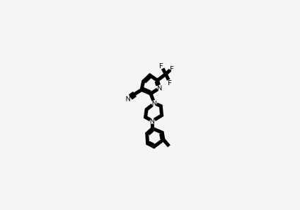 Cc1cccc(N2CCN(c3nc(C(F)(F)F)ccc3C#N)CC2)c1